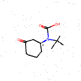 CC(C)(C)N(C(=O)O)[C@H]1CCCC(=O)C1